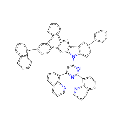 c1ccc(-c2ccc3c(c2)c2cc4c5ccccc5c5cc(-c6cccc7ccccc67)ccc5c4cc2n3-c2cc(-c3cccc4cccnc34)nc(-c3cccc4cccnc34)n2)cc1